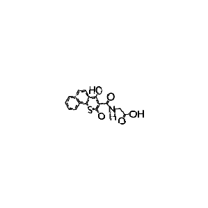 O=C(O)CNC(=O)c1c(O)c2ccc3ccccc3c2sc1=O